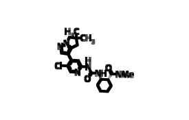 CNC(=O)[C@@H]1CCCC[C@@H]1NC(=O)Nc1cc(-c2cnn3c2CC(C)(C)C3)c(Cl)cn1